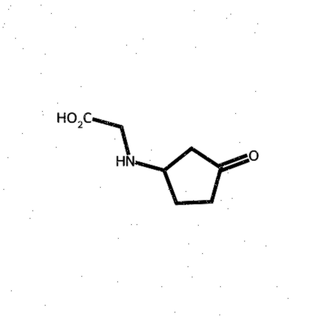 O=C(O)CNC1CCC(=O)C1